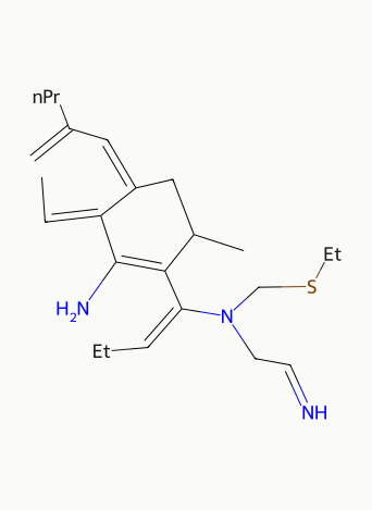 C=C(/C=C1/CC(C)C(C(=C\CC)/N(CC=N)CSCC)=C(N)/C1=C/C)CCC